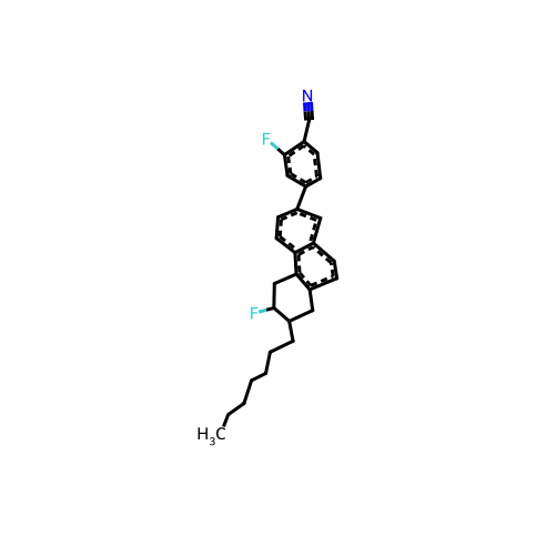 CCCCCCCC1Cc2ccc3cc(-c4ccc(C#N)c(F)c4)ccc3c2CC1F